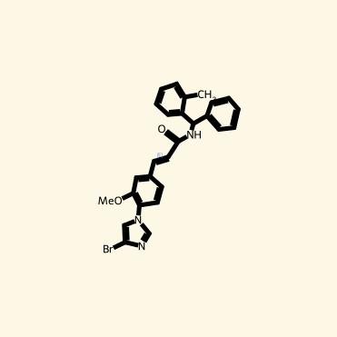 COc1cc(/C=C/C(=O)NC(c2ccccc2)c2ccccc2C)ccc1-n1cnc(Br)c1